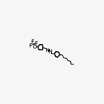 CCCCCCCc1ccc(C=NN=Cc2ccc(OC(F)(F)F)cc2)cc1